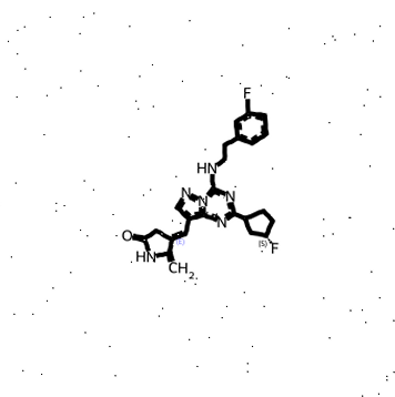 C=C1NC(=O)C/C1=C\c1cnn2c(NCCc3cccc(F)c3)nc(C3CC[C@H](F)C3)nc12